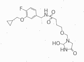 C[C@@H](NS(=O)(=O)CCCOCN1CC(=O)NC1O)c1ccc(F)c(OCC2CC2)c1